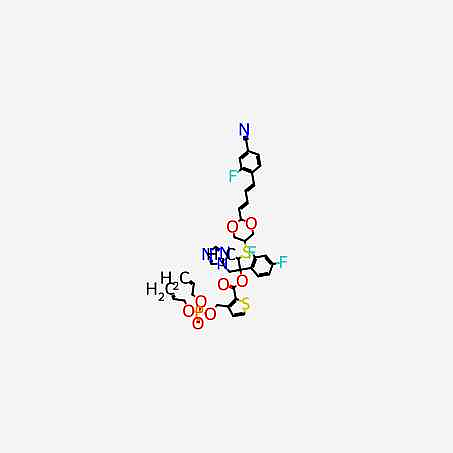 C=CCOP(=O)(OCC=C)OCc1ccsc1C(=O)OC(Cn1cncn1)(c1ccc(F)cc1F)C(C)SC1COC(C=CC=Cc2ccc(C#N)cc2F)OC1